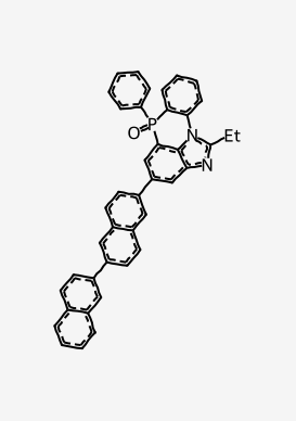 CCc1nc2cc(-c3ccc4cc(-c5ccc6ccccc6c5)ccc4c3)cc3c2n1-c1ccccc1P3(=O)c1ccccc1